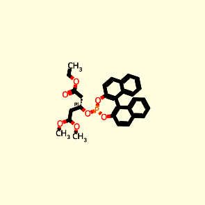 CCOC(=O)C[C@@H](CC(OC)OC)Op1oc2ccc3ccccc3c2c2c(ccc3ccccc32)o1